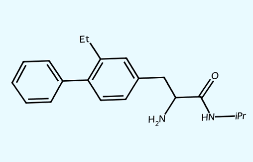 CCc1cc(CC(N)C(=O)NC(C)C)ccc1-c1ccccc1